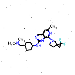 Cc1cc2cnc(NC3CCC(CN(C)C)CC3)nc2c(N2CCC3(C2)CC3(F)F)n1